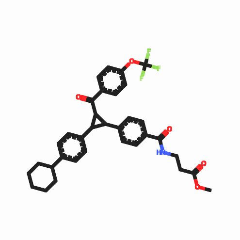 COC(=O)CCNC(=O)c1ccc(C2C(C(=O)c3ccc(OC(F)(F)F)cc3)C2c2ccc(C3CCCCC3)cc2)cc1